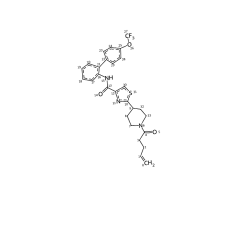 C=CCCC(=O)N1CCC(c2nc(C(=O)Nc3ccccc3-c3ccc(OC(F)(F)F)cc3)cs2)CC1